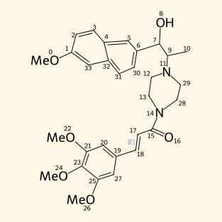 COc1ccc2cc(C(O)C(C)N3CCN(C(=O)/C=C/c4cc(OC)c(OC)c(OC)c4)CC3)ccc2c1